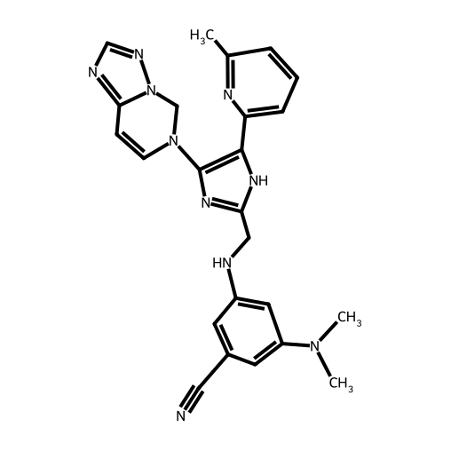 Cc1cccc(-c2[nH]c(CNc3cc(C#N)cc(N(C)C)c3)nc2N2C=Cc3ncnn3C2)n1